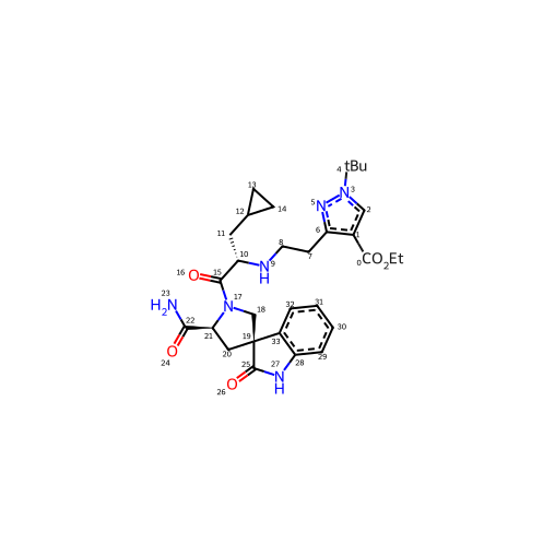 CCOC(=O)c1cn(C(C)(C)C)nc1CCN[C@@H](CC1CC1)C(=O)N1C[C@]2(C[C@H]1C(N)=O)C(=O)Nc1ccccc12